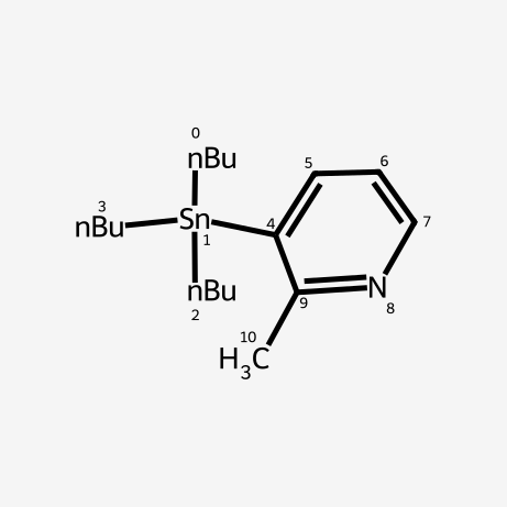 CCC[CH2][Sn]([CH2]CCC)([CH2]CCC)[c]1cccnc1C